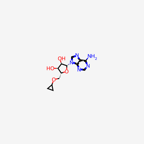 Nc1ncnc2c1ncn2[C@@H]1O[C@H](COC2CC2)[C@@H](O)[C@H]1O